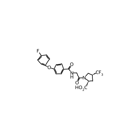 O=C(NCC(=O)N1C[C@@H](C(F)(F)F)C[C@H]1C(=O)O)c1ccc(Oc2ccc(F)cc2)cc1